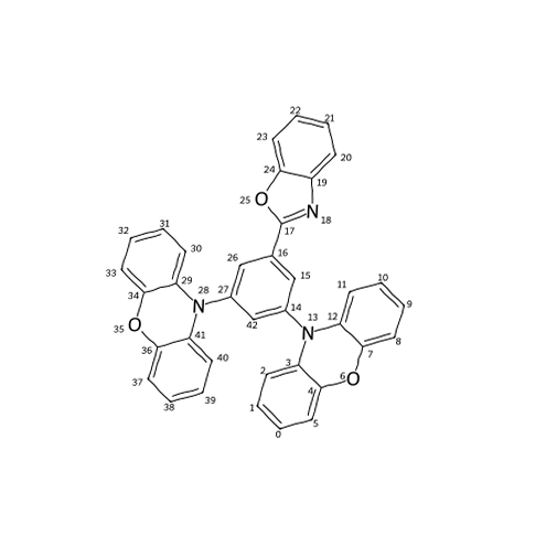 c1ccc2c(c1)Oc1ccccc1N2c1cc(-c2nc3ccccc3o2)cc(N2c3ccccc3Oc3ccccc32)c1